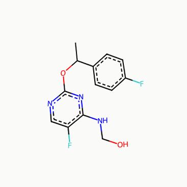 CC(Oc1ncc(F)c(NCO)n1)c1ccc(F)cc1